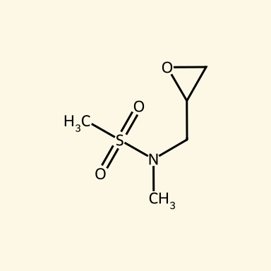 CN(CC1CO1)S(C)(=O)=O